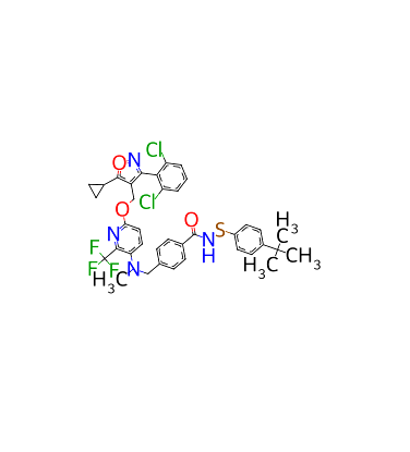 CN(Cc1ccc(C(=O)NSc2ccc(C(C)(C)C)cc2)cc1)c1ccc(OCc2c(-c3c(Cl)cccc3Cl)noc2C2CC2)nc1C(F)(F)F